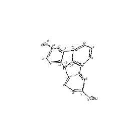 CC(C)(C)c1ccc2c(c1)c1cccc3c4cc(C(C)(C)C)ccc4n2c13